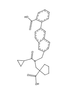 O=C(O)c1ccccc1-c1ccc2cc(CN(CC3(C(=O)O)CCCC3)C(=O)C3CC3)ccc2c1